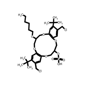 CCCCCCOC1COc2cc(C(C)(C)C)c(CCl)cc2OCC(OS(=O)(=O)O)COc2cc(CCl)c(C(C)(C)C)cc2OC1